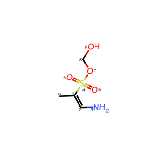 CC(=CN)S(=O)(=O)OCO